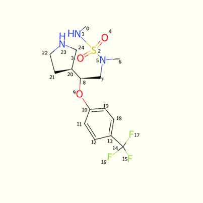 CNS(=O)(=O)N(C)C[C@@H](Oc1ccc(C(F)(F)F)cc1)[C@H]1CCNC1